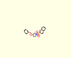 O=S(=O)(c1ccc2ccccc2c1)N1[CH]CC(OCc2ccccc2)C1